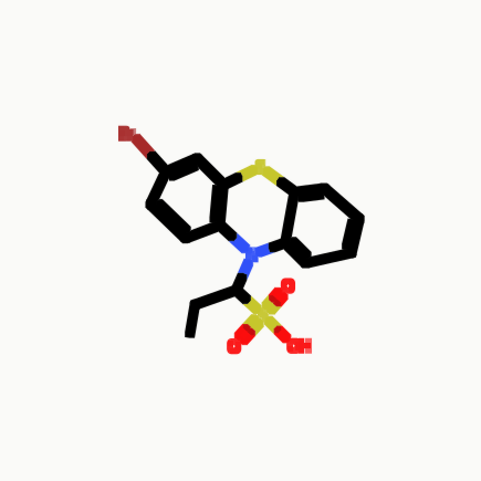 CCC(N1c2ccccc2Sc2cc(Br)ccc21)S(=O)(=O)O